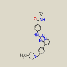 CC1CCN(Cc2ccc(-c3cccn4nc(Nc5ccc(C(=O)NC6CC6)cc5)nc34)cc2)CC1